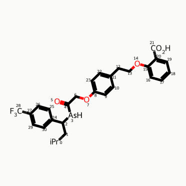 CC(C)CC([AsH]C(=O)COc1ccc(CCOc2ccccc2C(=O)O)cc1)c1ccc(C(F)(F)F)cc1